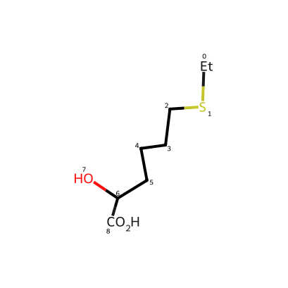 CCSCCCCC(O)C(=O)O